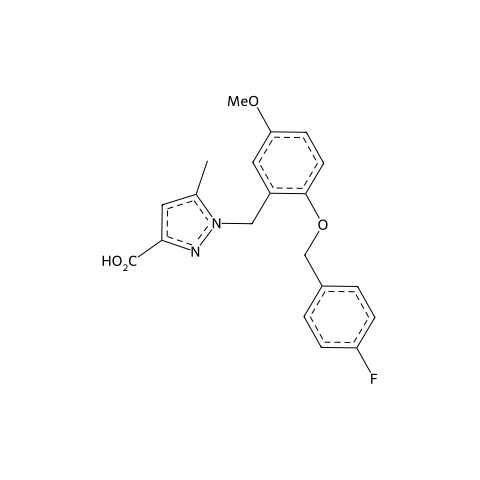 COc1ccc(OCc2ccc(F)cc2)c(Cn2nc(C(=O)O)cc2C)c1